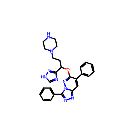 c1ccc(-c2cc3nnc(-c4ccccc4)n3nc2OC(CCN2CCNCC2)c2nc[nH]n2)cc1